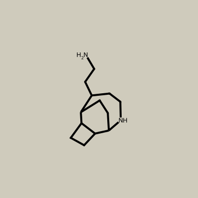 NCCC1CCNC2CCC1C1CCC21